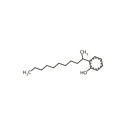 CCCCCCCCCC(C)c1ccccc1O